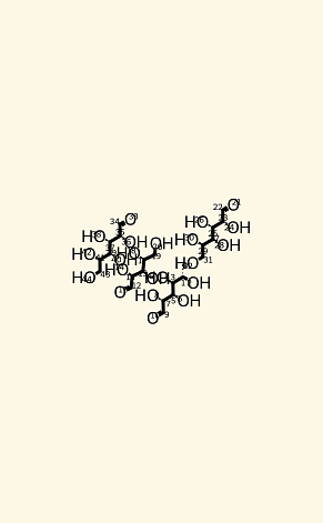 C[C@H](O)[C@H](O)[C@@H](O)[C@@H](O)C=O.O=C[C@@H](O)[C@H](O)[C@H](O)CO.O=C[C@H](O)[C@@H](O)[C@@H](O)[C@H](O)CO.O=C[C@H](O)[C@@H](O)[C@H](O)[C@H](O)CO